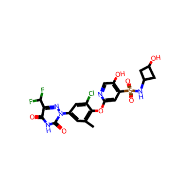 Cc1cc(-n2nc(C(F)F)c(=O)[nH]c2=O)cc(Cl)c1Oc1cc(S(=O)(=O)NC2CC(O)C2)c(O)cn1